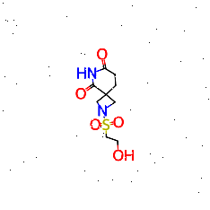 O=C1CCC2(CN(S(=O)(=O)CCO)C2)C(=O)N1